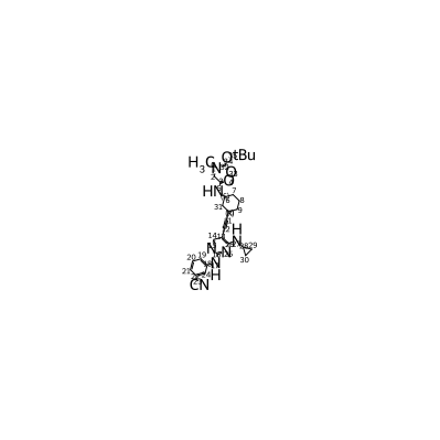 CN(CC(=O)N[C@H]1CCC[C@@H](C#Cc2cnc(Nc3cccc(C#N)c3)nc2NC2CC2)C1)C(=O)OC(C)(C)C